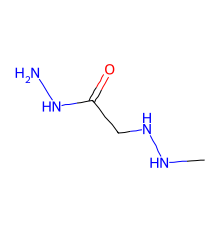 CNNCC(=O)NN